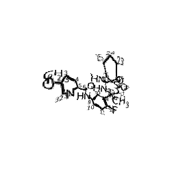 COc1ccc(C(=O)Nc2ccc(F)c([C@]3(C)CS(=O)(=O)C4(CCCCC4)C(=N)N3)c2)nc1